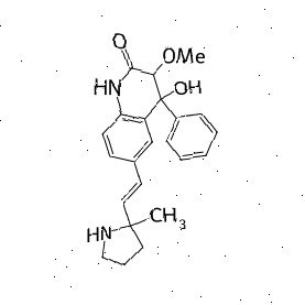 COC1C(=O)Nc2ccc(C=CC3(C)CCCN3)cc2C1(O)c1ccccc1